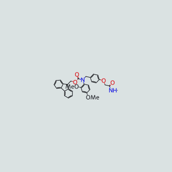 COc1ccc(N(Cc2ccc(OCC([NH])=O)cc2)C(=O)OCC2c3ccccc3-c3ccccc32)c(OC)c1